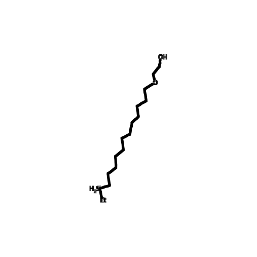 CC[SiH2]CCCCCCCCCCCCOCCO